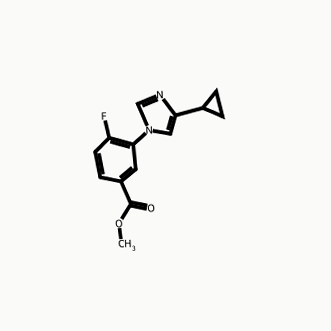 COC(=O)c1ccc(F)c(-n2cnc(C3CC3)c2)c1